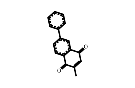 CC1=CC(=O)c2cc(-c3ccccc3)ccc2C1=O